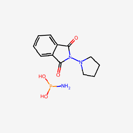 NP(O)O.O=C1c2ccccc2C(=O)N1N1CCCC1